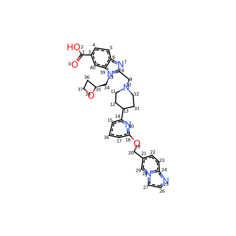 O=C(O)c1ccc2nc(CN3CCC(c4cccc(OCc5ccc6nccn6c5)n4)CC3)n(C[C@@H]3CCO3)c2c1